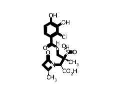 C[C@@H]1CC(=O)N1[C@@H](C(=O)O)[C@](C)(CNC(=O)c1ccc(O)c(O)c1Cl)[SH](=O)=O